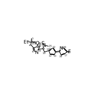 CCC(C)(C)Cc1cnc(C(Cc2ccc(-c3ccc(F)cn3)cc2)N(C)C(=O)O)n1C